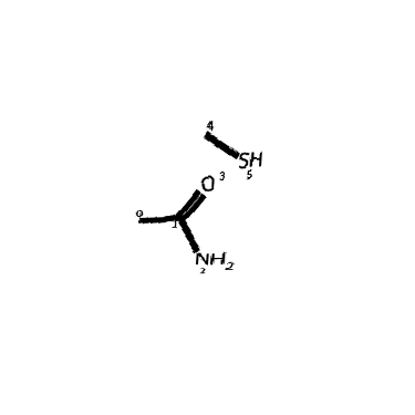 CC(N)=O.CS